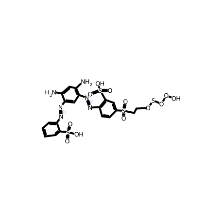 Nc1cc(N)c(/N=N/c2ccc(S(=O)(=O)CCOSOOO)cc2S(=O)(=O)O)cc1/N=N/c1ccccc1S(=O)(=O)O